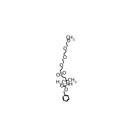 COCCOCCOCCOCCS(=O)(=O)CCC(C)(C)NC(=O)OCc1ccccc1